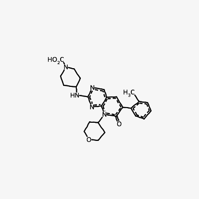 Cc1ccccc1-c1cc2cnc(NC3CCN(C(=O)O)CC3)nc2n(C2CCOCC2)c1=O